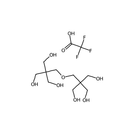 O=C(O)C(F)(F)F.OCC(CO)(CO)COCC(CO)(CO)CO